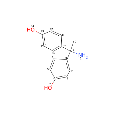 CC(N)(c1ccc(O)cc1)c1ccc(O)cc1